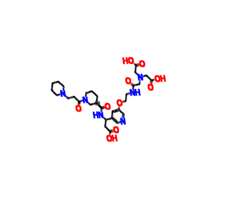 O=C(O)CC(NC(=O)[C@@H]1CCCN(C(=O)CCN2CCCCC2)C1)c1cncc(OCCNC(=O)CN(CC(=O)O)CC(=O)O)c1